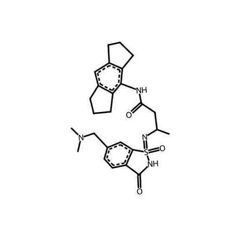 CC(CC(=O)Nc1c2c(cc3c1CCC3)CCC2)N=S1(=O)NC(=O)c2ccc(CN(C)C)cc21